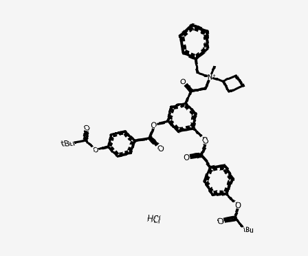 CC(C)(C)C(=O)Oc1ccc(C(=O)Oc2cc(OC(=O)c3ccc(OC(=O)C(C)(C)C)cc3)cc(C(=O)C[N+](C)(Cc3ccccc3)C3CCC3)c2)cc1.Cl